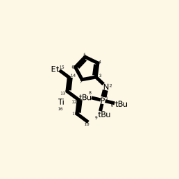 CC(C)(C)P(=NC1=CC=CC1)(C(C)(C)C)C(C)(C)C.CC=CC=CCC.[Ti]